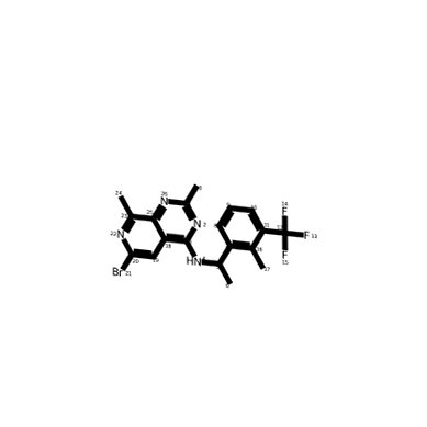 Cc1nc(NC(C)c2cccc(C(F)(F)F)c2C)c2cc(Br)nc(C)c2n1